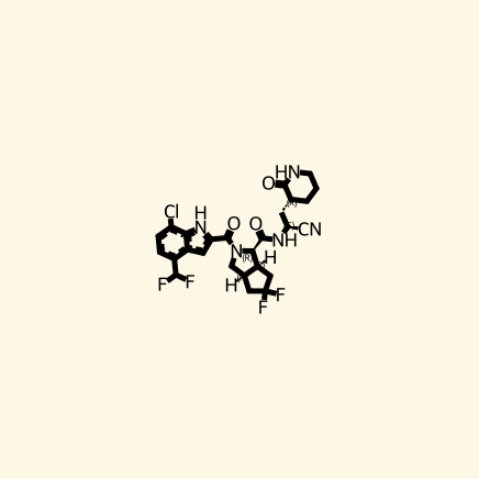 N#C[C@H](C[C@H]1CCCNC1=O)NC(=O)[C@H]1[C@H]2CC(F)(F)C[C@H]2CN1C(=O)c1cc2c(C(F)F)ccc(Cl)c2[nH]1